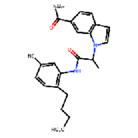 CNC(=O)c1ccc2ccn(C(C)C(=O)Nc3cc(C#N)ccc3CCCC(=O)O)c2c1